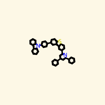 c1ccc(-c2cc(-c3ccccc3)nc(-c3ccc4sc5ccc(-c6ccc(-n7c8ccccc8c8ccccc87)cc6)cc5c4c3)c2)cc1